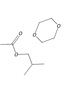 C1COCCO1.CC(=O)OCC(C)C